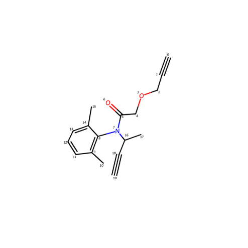 C#CCOCC(=O)N(c1c(C)cccc1C)C(C)C#C